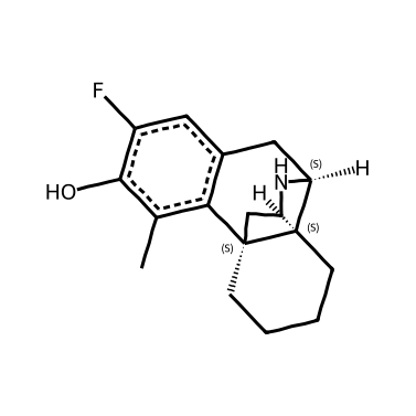 Cc1c(O)c(F)cc2c1[C@]13CCCC[C@@H]1[C@H](C2)NCC3